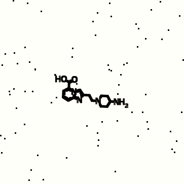 NC1CCN(CCc2cn3c(C(=O)O)cccc3n2)CC1